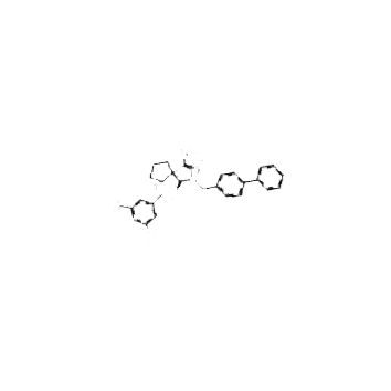 NC(=O)[C@]1(C(=O)NCc2ccc(-c3ccccc3)cc2)CCC[C@H]1Cc1cc(Cl)cc(Cl)c1